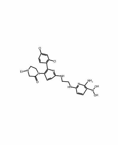 CCN1CCN(c2ccc(NCCNc3ccc(N(O)O)c(N)n3)nc2-c2ccc(Cl)cc2Cl)C(=O)C1